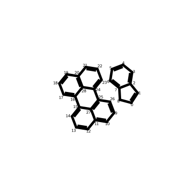 C1=Cc2ccccc2C1.c1cc2cccc3c4cccc5cccc(c(c1)c23)c54